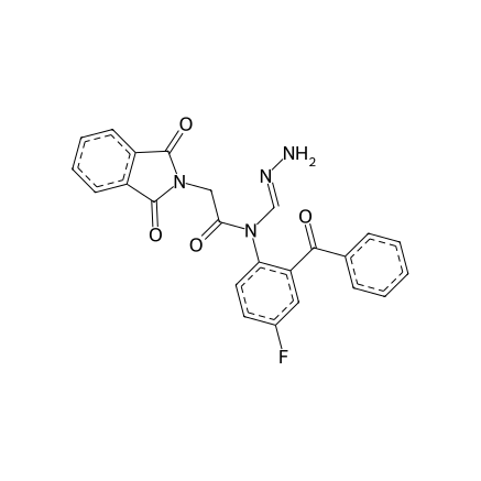 NN=CN(C(=O)CN1C(=O)c2ccccc2C1=O)c1ccc(F)cc1C(=O)c1ccccc1